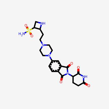 NS(=O)(=O)C1CNC1CCN1CCN(c2ccc3c(c2)C(=O)N(C2CCC(=O)NC2=O)C3=O)CC1